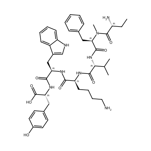 CC[C@@H](N)C(=O)N(C)[C@H](Cc1ccccc1)C(=O)N[C@@H](C(=O)N[C@@H](CCCCN)C(=O)N[C@H](Cc1c[nH]c2ccccc12)C(=O)N[C@H](Cc1ccc(O)cc1)C(=O)O)C(C)C